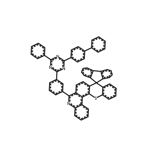 c1ccc(-c2ccc(-c3nc(-c4ccccc4)nc(-c4cccc(-c5nc6ccccc6c6c7c(ccc56)C5(c6ccccc6S7)c6ccccc6-c6ccccc65)c4)n3)cc2)cc1